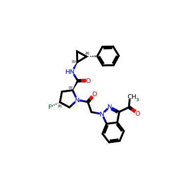 CC(=O)c1nn(CC(=O)N2C[C@H](F)C[C@H]2C(=O)N[C@H]2C[C@@H]2c2ccccc2)c2ccccc12